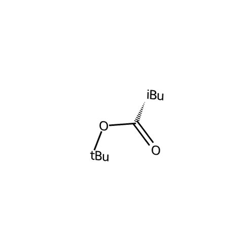 [CH2]C[C@@H](C)C(=O)OC(C)(C)C